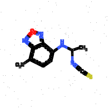 CC(N=C=S)Nc1ccc([N+](=O)[O-])c2nonc12